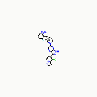 NC[C@]1(c2ccccc2F)[C@@H]2CCN(c3cnc4c(-c5ccn6nccc6c5Cl)n[nH]c4n3)C[C@@H]21